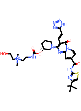 CC(C)(C)c1csc(NC(=O)c2ccn3c(=O)c(C=Cc4nnn[nH]4)c(N4CCC[C@@H](OC(=O)NCC[N+](C)(C)CCO)C4)nc3c2)n1